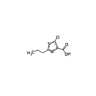 CCCc1nc(C(=O)O)c(Cl)s1